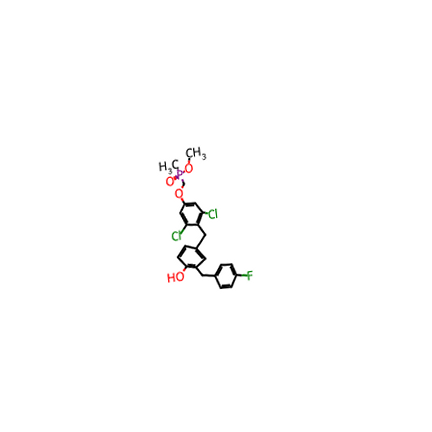 COP(C)(=O)COc1cc(Cl)c(Cc2ccc(O)c(Cc3ccc(F)cc3)c2)c(Cl)c1